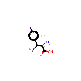 CC(c1ccc(I)cc1)[C@H](N)C(=O)O.Cl